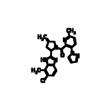 C=C1CC(c2nc3ccc(Cl)c(C)c3[nH]2)N(C(=O)c2nc(C)ccc2-n2cccn2)C1